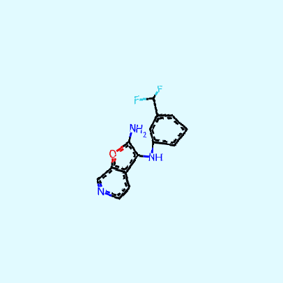 Nc1oc2cnccc2c1Nc1cccc(C(F)F)c1